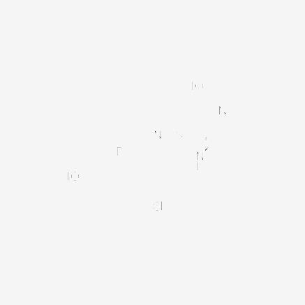 C=CC(O)N1CCC[C@@H](Nc2snc3c(F)c(-c4cc(O)cc5ccccc45)c(Cl)cc23)C1